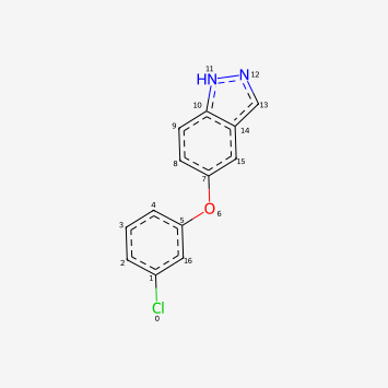 Clc1cccc(Oc2ccc3[nH]ncc3c2)c1